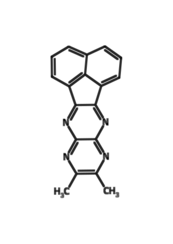 Cc1nc2nc3c(nc2nc1C)-c1cccc2cccc-3c12